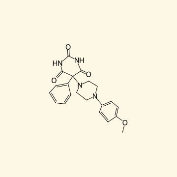 COc1ccc(N2CCN(C3(c4ccccc4)C(=O)NC(=O)NC3=O)CC2)cc1